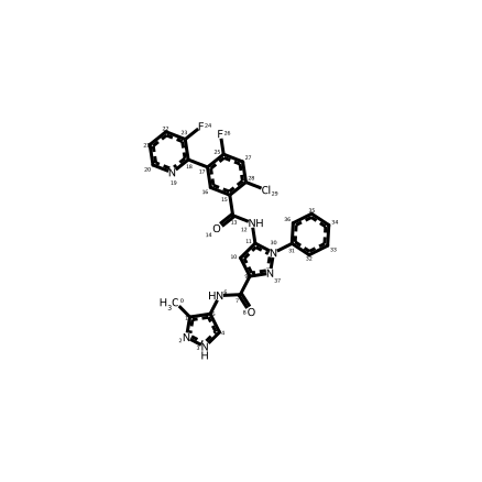 Cc1n[nH]cc1NC(=O)c1cc(NC(=O)c2cc(-c3ncccc3F)c(F)cc2Cl)n(-c2ccccc2)n1